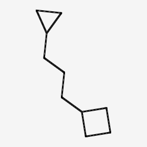 C1CC(CCCC2CC2)C1